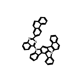 c1ccc2c(c1)ccc1cc(-c3nc(-n4c5ccccc5c5c6c7ccccc7n7c8ccc9ccccc9c8c(cc54)c67)c4ccccc4n3)ccc12